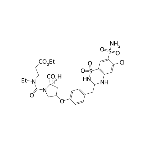 CCOC(=O)CCN(CC)C(=O)N1CC(Oc2ccc(CC3Nc4cc(Cl)c(S(N)(=O)=O)cc4S(=O)(=O)N3)cc2)C[C@H]1C(=O)O